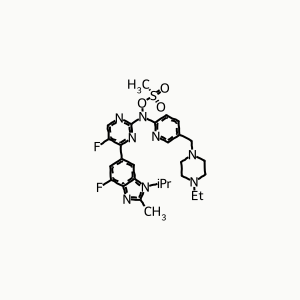 CCN1CCN(Cc2ccc(N(OS(C)(=O)=O)c3ncc(F)c(-c4cc(F)c5nc(C)n(C(C)C)c5c4)n3)nc2)CC1